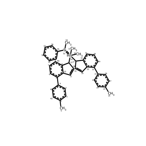 Cc1ccc(-c2cccc3c2C=C[CH]3[Hf]([CH3])([CH3])([CH]2C=Cc3c(-c4ccc(C)cc4)cccc32)=[Si](C)c2ccccc2)cc1